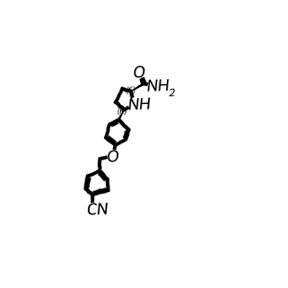 N#Cc1ccc(COc2ccc([C@H]3CC[C@@H](C(N)=O)N3)cc2)cc1